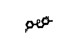 Cc1cc(/C=C\C(=O)c2cccc(F)c2)ccn1